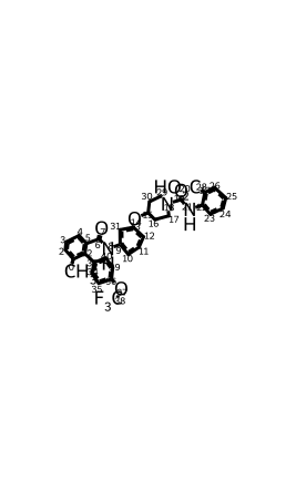 Cc1cccc(C(=O)Nc2cccc(OC3CCN(C(=O)Nc4ccccc4C(=O)O)CC3)c2)c1-c1ccc(OC(F)(F)F)cc1